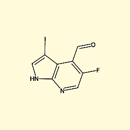 O=Cc1c(F)cnc2[nH]cc(I)c12